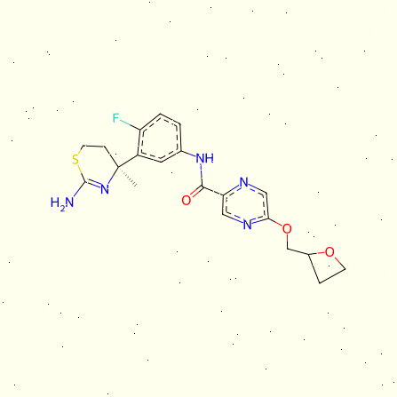 C[C@@]1(c2cc(NC(=O)c3cnc(OCC4CCO4)cn3)ccc2F)CCSC(N)=N1